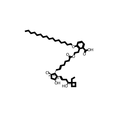 CCCCCCCCCCCCCCCCOc1cccc(C(=O)O)c1CCOC(=O)CCCC=CC[C@@H]1[C@@H](C=CC[C@H](O)C2(CC)CCC2)[C@H](O)C[C@H]1Cl